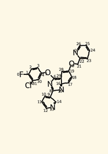 Fc1ccc(Oc2nc(-c3cccnc3)nc3ccc(OCc4ccccn4)cc23)cc1Cl